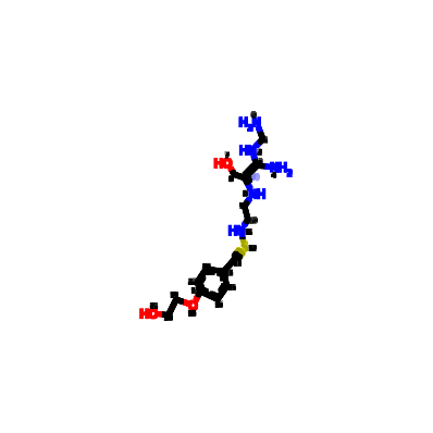 NCN/C(N)=C(\CO)NCCNS#Cc1ccc(OCCO)cc1